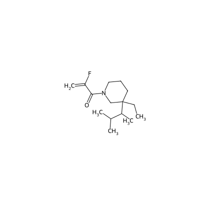 C=C(F)C(=O)N1CCCC(CC)(C(C)C(C)C)C1